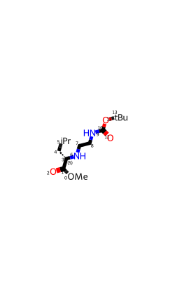 COC(=O)[C@H](CC(C)C)NCCNC(=O)OC(C)(C)C